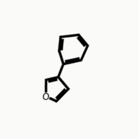 c1ccc(-c2ccoc2)cc1